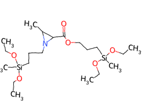 CCO[Si](C)(CCCOC(=O)C1C(C)N1CCC[Si](C)(OCC)OCC)OCC